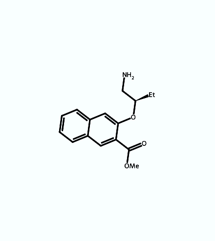 CC[C@H](CN)Oc1cc2ccccc2cc1C(=O)OC